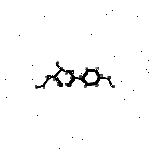 CCOC(=O)C(C)NC(=O)c1ccc(CC)cc1